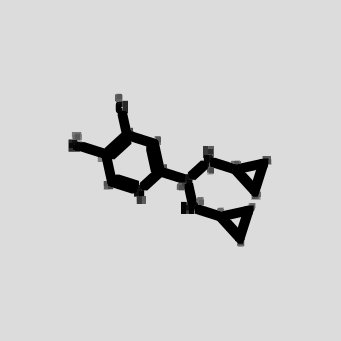 Clc1cc(N(PC2CC2)PC2CC2)ncc1Br